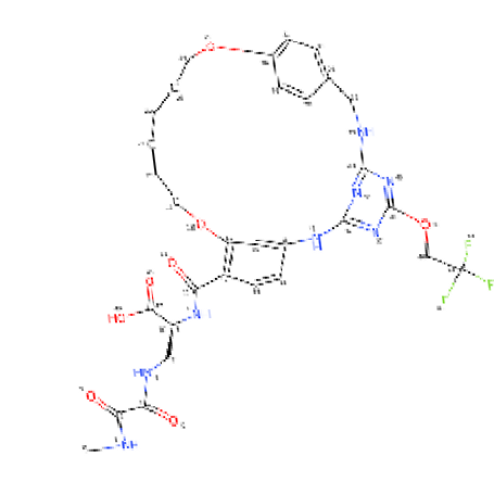 CNC(=O)C(=O)NC[C@H](NC(=O)c1ccc2cc1OCCCCCCOc1ccc(cc1)CNc1nc(nc(OCC(F)(F)F)n1)N2)C(=O)O